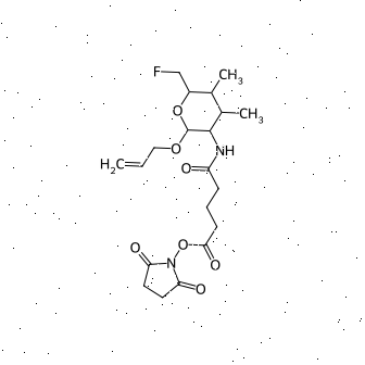 C=CCOC1OC(CF)C(C)C(C)C1NC(=O)CCCC(=O)ON1C(=O)CCC1=O